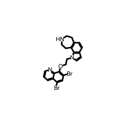 Brc1cc(Br)c2cccnc2c1OCCn1ccc2ccc3c(c21)CCNCC3